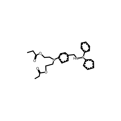 CCC(=O)OCCN(CCOC(=O)CC)c1ccc(CNN(c2ccccc2)c2ccccc2)cc1